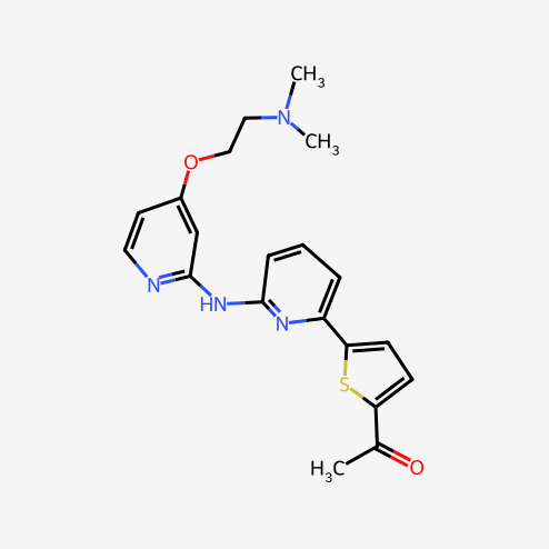 CC(=O)c1ccc(-c2cccc(Nc3cc(OCCN(C)C)ccn3)n2)s1